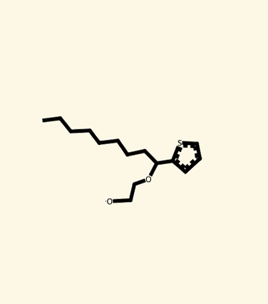 CCCCCCCCC(OCC[O])c1cccs1